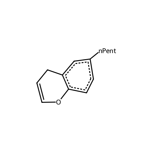 [CH2]CCCCc1ccc2c(c1)CC=CO2